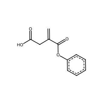 C=C(CC(=O)O)C(=O)Oc1ccccc1